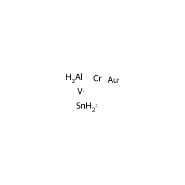 [AlH3].[Au].[Cr].[SnH2].[V]